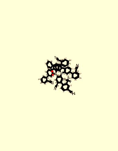 N#Cc1ccc(-c2cc(-n3c4cc(-c5ccccc5C#N)ccc4c4ccc(-c5ccccc5C#N)cc43)c(-n3c4cc(-c5ccccc5C#N)ccc4c4ccc(-c5ccccc5C#N)cc43)cc2C#N)c(C(F)(F)F)c1